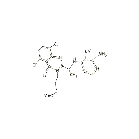 COCCCn1c(C(C)Nc2ncnc(N)c2C#N)nc2c(Cl)ccc(Cl)c2c1=O